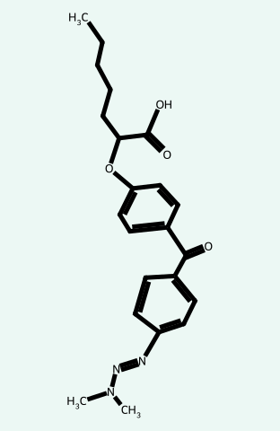 CCCCCC(Oc1ccc(C(=O)c2ccc(N=NN(C)C)cc2)cc1)C(=O)O